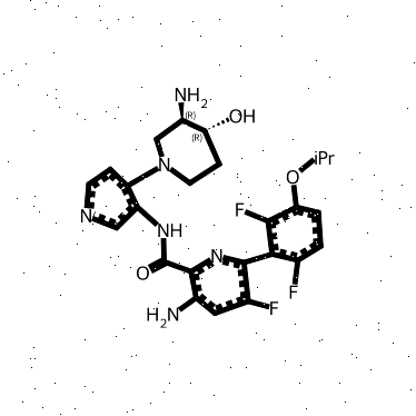 CC(C)Oc1ccc(F)c(-c2nc(C(=O)Nc3cnccc3N3CC[C@@H](O)[C@H](N)C3)c(N)cc2F)c1F